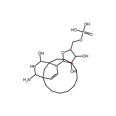 NC1NC(O)C23CCCCCCCCCCC1(C=CN2C1OC(COP(=O)(O)O)C(O)C1O)C3